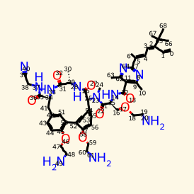 C=C/C(=C\C=C(/C)c1nc(C)c(C(=O)N[C@@H](COCCN)C(=O)N(C)[C@@H]2C(=O)N[C@@H](C)C(=O)N[C@H](C(=O)NCC#N)Cc3ccc(OCCN)c(c3)-c3cc2ccc3OCCN)c(C)n1)C(C)(C)C